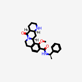 COc1c(C(=O)N[C@H](C)c2ccccc2)ccc2c1[C@@H]1C[C@@H]3NCCC[C@@H]3C(=O)N1CC2